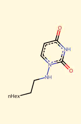 CCCCCCCCNn1ccc(=O)[nH]c1=O